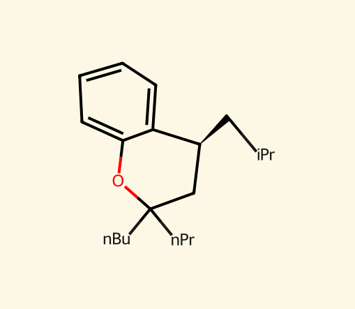 CCCCC1(CCC)C[C@H](CC(C)C)c2ccccc2O1